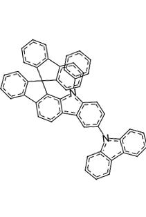 c1ccc(-n2c3ccc(-n4c5ccccc5c5ccccc54)cc3c3ccc4c(c32)C2(c3ccccc3-c3ccccc32)c2ccccc2-4)cc1